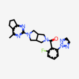 Cc1nc(N2CC3CN(C(=O)c4c(F)cccc4-n4nccn4)CC3C2)nc2c1CCC2